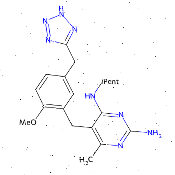 CCCC(C)Nc1nc(N)nc(C)c1Cc1cc(Cc2nn[nH]n2)ccc1OC